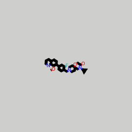 COc1c(-c2ccc(CN3CCC4(CC3)CN(C3CC3)C(=O)CO4)c(F)c2)ccc2cccnc12